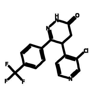 O=C1CC(c2ccncc2Cl)C(c2ccc(C(F)(F)F)cc2)=NN1